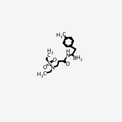 BC(Cc1ccc(C)cc1)NC(=O)CCN(CC)S(=O)(=O)CC